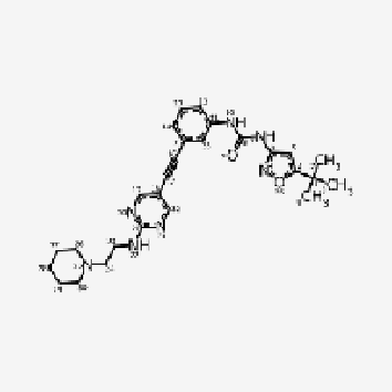 CC(C)(C)c1cc(NC(=O)Nc2cccc(C#Cc3cnc(NCCN4CCCCC4)nc3)c2)no1